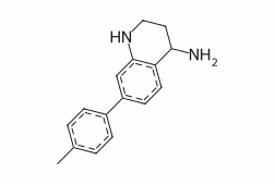 Cc1ccc(-c2ccc3c(c2)NCCC3N)cc1